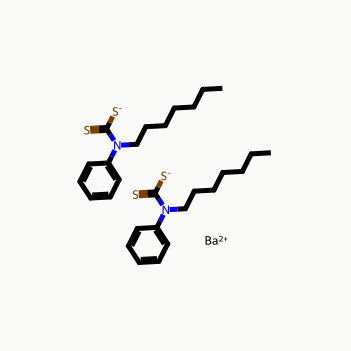 CCCCCCCN(C(=S)[S-])c1ccccc1.CCCCCCCN(C(=S)[S-])c1ccccc1.[Ba+2]